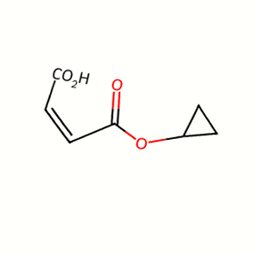 O=C(O)/C=C\C(=O)OC1CC1